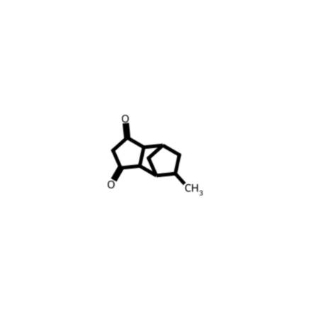 CC1CC2CC1C1C(=O)CC(=O)C21